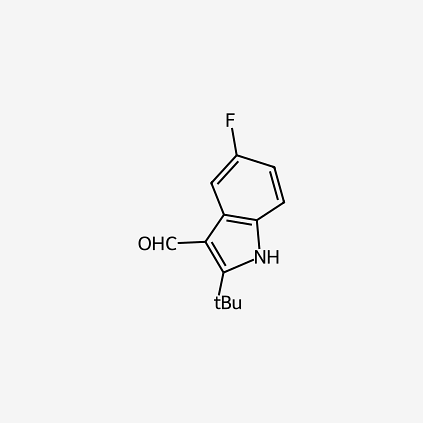 CC(C)(C)c1[nH]c2ccc(F)cc2c1C=O